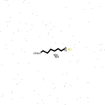 CCCCCCCCCCCCBS.[KH].[KH]